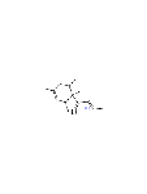 C/C=C/C(=O)C1(C)C(C)C=C(C)CC1C